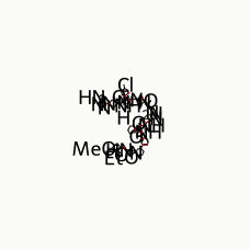 CCOc1cc(OC)ccc1CNCC(=O)N1CCCC(c2cccc(C(=O)N[C@@H](C(=O)NCCc3cn(CCC(=O)N4CCN(CC[C@H](NC(=O)C5(N)CCN(c6ncnc7[nH]ccc67)CC5)c5ccc(Cl)cc5)CC4)nn3)C3CCCCC3)c2)C1